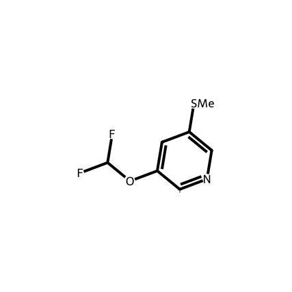 CSc1cn[c]c(OC(F)F)c1